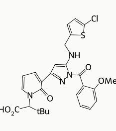 COc1ccccc1C(=O)n1nc(-c2cccn(C(C(=O)O)C(C)(C)C)c2=O)cc1NCc1ccc(Cl)s1